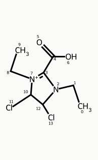 CCN1C(C(=O)O)=[N+](CC)C(Cl)C1Cl